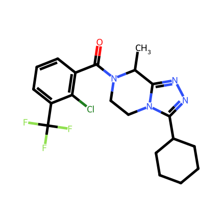 CC1c2nnc(C3CCCCC3)n2CCN1C(=O)c1cccc(C(F)(F)F)c1Cl